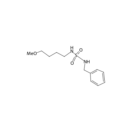 COCCCCNS(=O)(=O)NCc1ccccc1